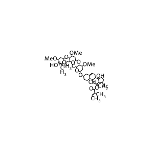 C/C=C(\C)C(=O)O[C@@H]1CC2C(CC=C3CC(OC4CC(OC)C(OC5CC(OC)C(OC6CC(OC)C(O)C(C)O6)C(C)O5)C(C)O4)CC[C@@]32C)[C@@]2(O)CC[C@H](C(C)=O)[C@@]12C